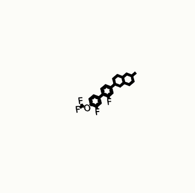 CC1CCC2CC(c3ccc(-c4ccc(OC(F)F)c(F)c4)c(F)c3)CCC2C1